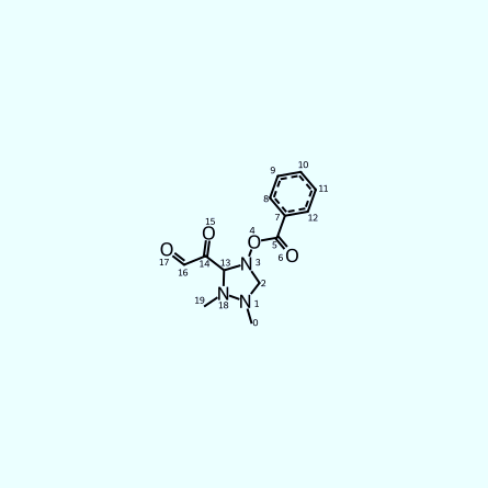 CN1CN(OC(=O)c2ccccc2)C(C(=O)C=O)N1C